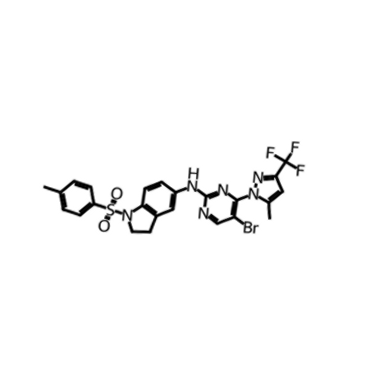 Cc1ccc(S(=O)(=O)N2CCc3cc(Nc4ncc(Br)c(-n5nc(C(F)(F)F)cc5C)n4)ccc32)cc1